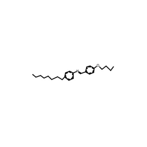 CCCCCCCCc1ccc(/N=C/c2ccc(OCCCC)cc2)cc1